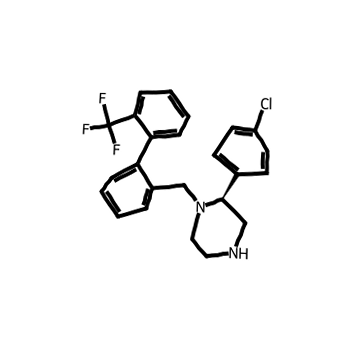 FC(F)(F)c1ccccc1-c1ccccc1CN1CCNC[C@@H]1c1ccc(Cl)cc1